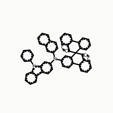 c1ccc(-n2c3ccccc3c3ccc(N(c4ccc5c(c4)C4(c6ccccc6-c6cccc7cccc4c67)c4cccc6cccc-5c46)c4ccc5ccccc5c4)cc32)cc1